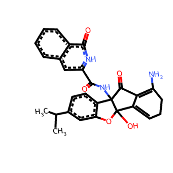 CC(C)c1ccc2c(c1)OC1(O)C3=CCCC(N)=C3C(=O)C21NC(=O)c1cc2ccccc2c(=O)[nH]1